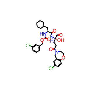 O=CC(O)(CCC(=O)N1CCOc2ccc(Cl)cc2C1)NC(=O)[C@H](CC1CCCCC1)NC(=O)OCc1cccc(Cl)c1